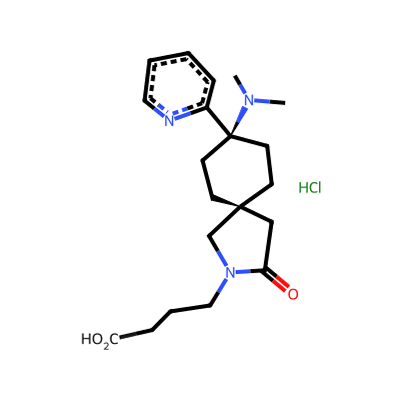 CN(C)[C@]1(c2ccccn2)CC[C@@]2(CC1)CC(=O)N(CCCC(=O)O)C2.Cl